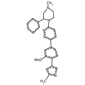 COc1cc(-c2ccc(N3CCN(C)CC3c3ccccc3)nn2)ccc1-n1cnc(C)c1